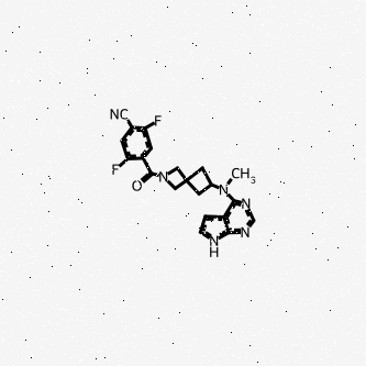 CN(c1ncnc2[nH]ccc12)C1CC2(C1)CN(C(=O)c1cc(F)c(C#N)cc1F)C2